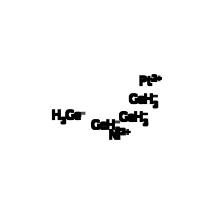 [GeH3-].[GeH3-].[GeH3-].[GeH3-].[Ni+2].[Pt+2]